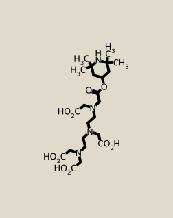 CC1(C)CC(OC(=O)CN(CCN(CCN(CC(=O)O)CC(=O)O)CC(=O)O)CC(=O)O)CC(C)(C)N1